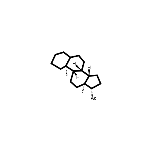 CC(=O)[C@H]1CC[C@H]2[C@H]3CCC4CCCC[C@]4(C)[C@H]3CC[C@]12C